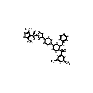 Cc1noc(C)c1S(=O)(=O)N1CCC(N2CCN(C3CCN(C(=O)c4cc(C(F)(F)F)cc(C(F)(F)F)c4)C(Cc4ccccc4)C3)CC2)C1